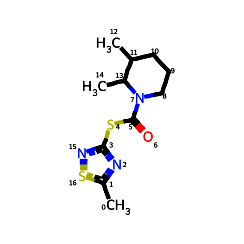 Cc1nc(SC(=O)N2CCCC(C)C2C)ns1